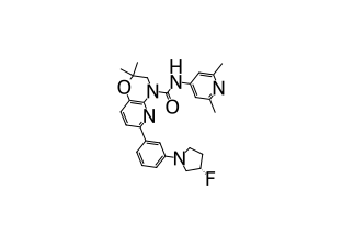 Cc1cc(NC(=O)N2CC(C)(C)Oc3ccc(-c4cccc(N5CC[C@H](F)C5)c4)nc32)cc(C)n1